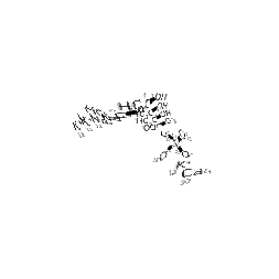 O=C(O)O.O=C(O)O.O=C(O)O.O=C([O-])O.O=C([O-])[O-].[Ca+2].[K+].[K+].[K+].[Na+].[Na+].[O-][Si]([O-])([O-])[O-]